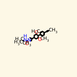 CC#Cc1cc(C)c(C2C(=O)CC(C3CN(C(=O)NC(C)(C)C)C3)CC2=O)c(C)c1